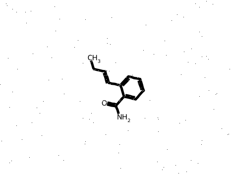 CCC=Cc1ccccc1C(N)=O